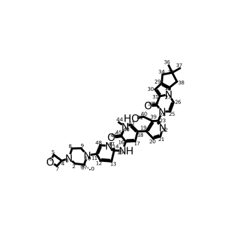 C[C@@H]1CN(C2COC2)CCN1c1ccc(Nc2cc(-c3ccnc(-n4ccn5c6c(cc5c4=O)CC(C)(C)C6)c3CO)cn(C)c2=O)nc1